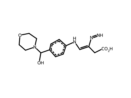 N=N/C(=C\Nc1ccc(C(O)N2CCOCC2)cc1)CC(=O)O